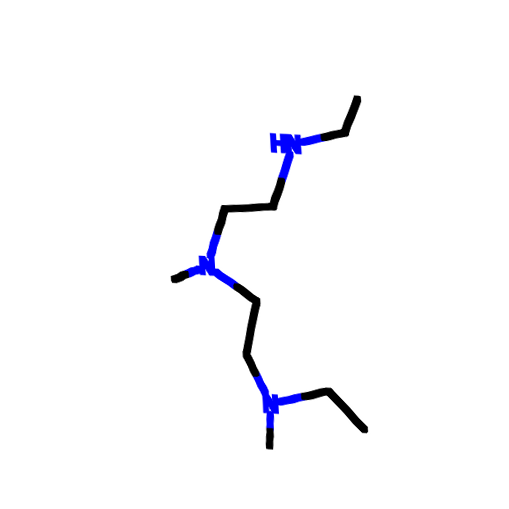 CCNCCN(C)CCN(C)CC